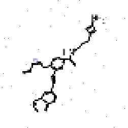 C=C/C=C\Cc1ccc(C(=C)NCCCC2=CC(N)=C2)cc1C#CC1=CC(/C=C\C)C(=C)C=C1